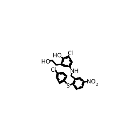 O=[N+]([O-])c1ccc(Sc2ccc(Cl)cc2)c(CNc2cc(Cl)c(O)c(CCO)c2)c1